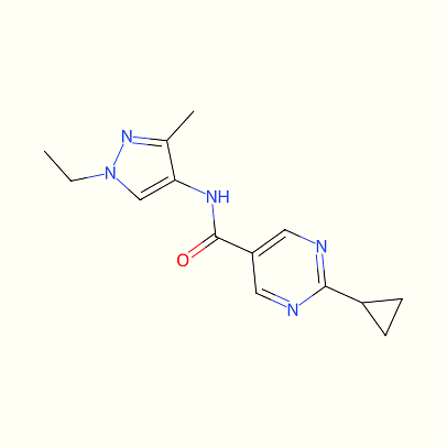 CCn1cc(NC(=O)c2cnc(C3CC3)nc2)c(C)n1